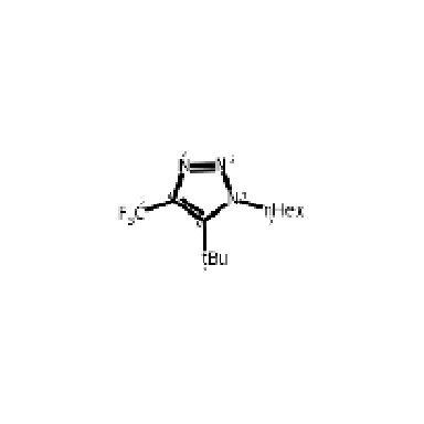 CCCCCCn1nnc(C(F)(F)F)c1C(C)(C)C